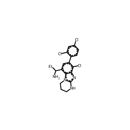 CCC(N)c1cc(-c2ccc(Cl)cc2Cl)c(Cl)c2nc3n(c12)CCCN3